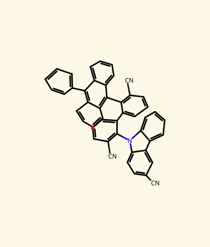 N#Cc1ccc2c(c1)c1ccccc1n2-c1c(C#N)cccc1-c1cccc(C#N)c1-c1c2ccccc2c(-c2ccccc2)c2ccccc12